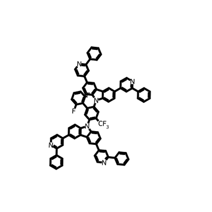 Fc1cccc(F)c1-c1cc(-n2c3ccc(-c4ccnc(-c5ccccc5)c4)cc3c3cc(-c4ccnc(-c5ccccc5)c4)ccc32)c(C(F)(F)F)cc1-n1c2ccc(-c3ccnc(-c4ccccc4)c3)cc2c2cc(-c3ccnc(-c4ccccc4)c3)ccc21